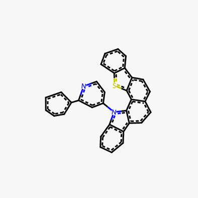 c1ccc(-c2cc(-n3c4ccccc4c4ccc5ccc6c7ccccc7sc6c5c43)ccn2)cc1